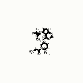 C=CC(=O)N1C[C@H](Nc2ncnc3[nH]cc([C@@H]4[C@H](C)C4(F)F)c23)CC[C@@H]1C